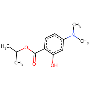 CC(C)OC(=O)c1ccc(N(C)C)cc1O